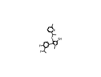 Cc1cccc(C(C)Cc2c(S)cn(C)c2-c2ccc(F)c(C(C)F)c2)n1